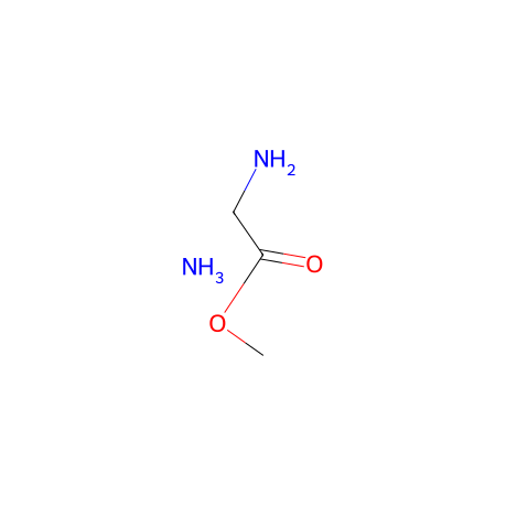 COC(=O)CN.N